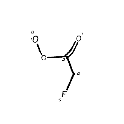 [O]OC(=O)CF